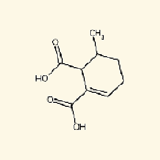 CC1CCC=C(C(=O)O)C1C(=O)O